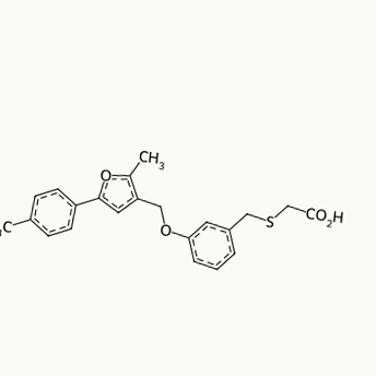 Cc1oc(-c2ccc(C(F)(F)F)cc2)cc1COc1cccc(CSCC(=O)O)c1